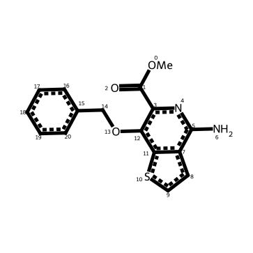 COC(=O)c1nc(N)c2ccsc2c1OCc1ccccc1